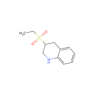 CCS(=O)(=O)C1CNc2ccccc2C1